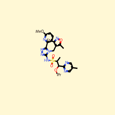 CCc1noc(C)c1Cn1c(NS(=O)(=O)C(C)C(OC(C)C)c2ncc(C)cn2)nnc1-c1cccc(OC)n1